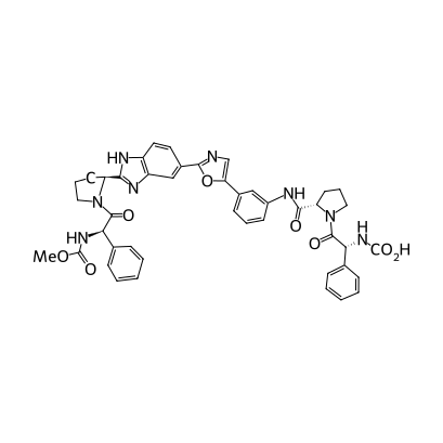 COC(=O)N[C@@H](C(=O)N1CCC[C@H]1c1nc2cc(-c3ncc(-c4cccc(NC(=O)[C@@H]5CCCN5C(=O)[C@H](NC(=O)O)c5ccccc5)c4)o3)ccc2[nH]1)c1ccccc1